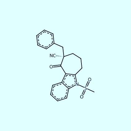 CS(=O)(=O)n1c2c(c3ccccc31)C(=O)[C@@](C#N)(Cc1ccccc1)CCC2